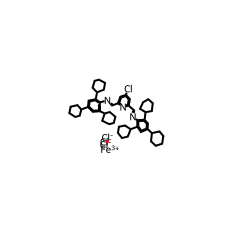 Clc1cc(C=Nc2c(C3CCCCC3)cc(C3CCCCC3)cc2C2CCCCC2)nc(C=Nc2c(C3CCCCC3)cc(C3CCCCC3)cc2C2CCCCC2)c1.[Cl-].[Cl-].[Cl-].[Fe+3]